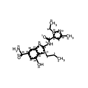 CCCn1c(NC(=O)c2cc(C)nn2CC)nc2cc(C(N)=O)cc(O)c21